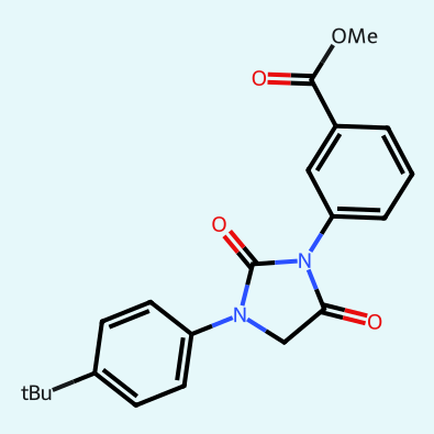 COC(=O)c1cccc(N2C(=O)CN(c3ccc(C(C)(C)C)cc3)C2=O)c1